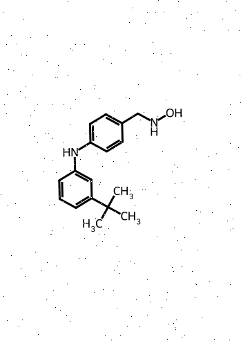 CC(C)(C)c1cccc(Nc2ccc(CNO)cc2)c1